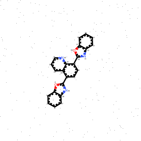 c1ccc2oc(-c3ccc(-c4nc5ccccc5o4)c4ncccc34)nc2c1